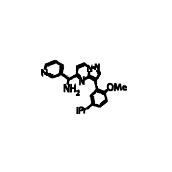 COc1ccc(C(C)C)cc1-c1cnn2ccc(C(N)c3cccnc3)nc12